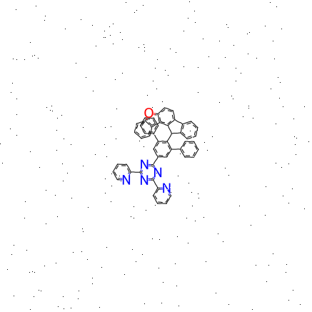 c1ccc(-c2cc(-c3nc(-c4ccccn4)nc(-c4ccccn4)n3)cc(-c3ccccc3)c2C2c3ccccc3-c3ccc4oc5ccccc5c4c32)cc1